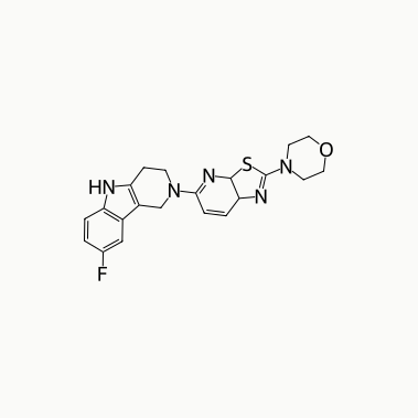 Fc1ccc2[nH]c3c(c2c1)CN(C1=NC2SC(N4CCOCC4)=NC2C=C1)CC3